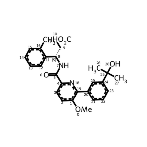 COc1ccc(C(=O)N[C@@H](CC(=O)O)c2ccccc2C)nc1-c1cccc(C(C)(C)O)c1